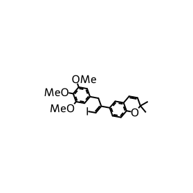 COc1cc(CC(=CI)c2ccc3c(c2)C=CC(C)(C)O3)cc(OC)c1OC